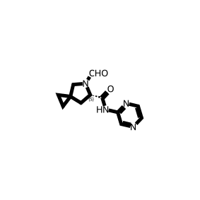 O=CN1CC2(CC2)C[C@H]1C(=O)Nc1cnccn1